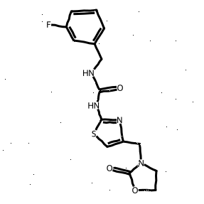 O=C(NCc1cccc(F)c1)Nc1nc(CN2CCOC2=O)cs1